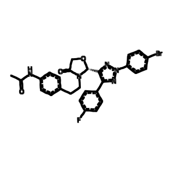 CC(=O)Nc1ccc(CCN2C(=O)CO[C@@H]2c2nn(-c3ccc(Br)cc3)nc2-c2ccc(F)cc2)cc1